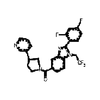 O=C(c1ccc2c(c1)nc(-c1ccc(F)cc1F)n2CC(F)(F)F)N1CCC(c2cccnc2)C1